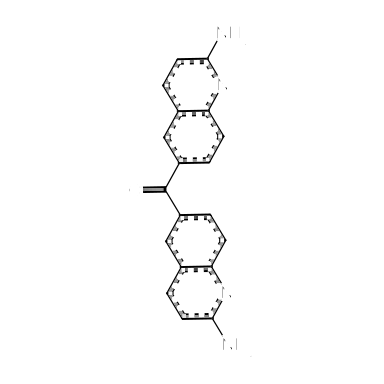 Nc1ccc2cc(C(=O)c3ccc4nc(N)ccc4c3)ccc2n1